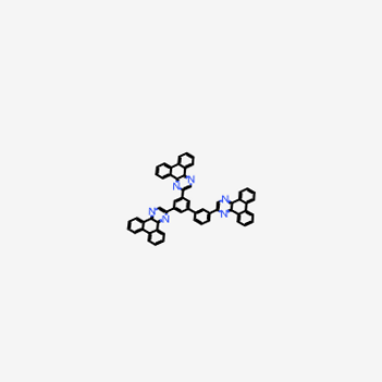 c1cc(-c2cc(-c3cnc4c5ccccc5c5ccccc5c4n3)cc(-c3cnc4c5ccccc5c5ccccc5c4n3)c2)cc(-c2cnc3c4ccccc4c4ccccc4c3n2)c1